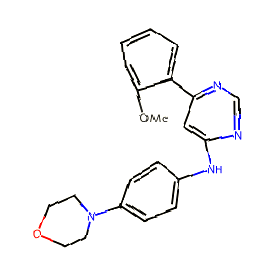 COc1ccccc1-c1cc(Nc2ccc(N3CCOCC3)cc2)ncn1